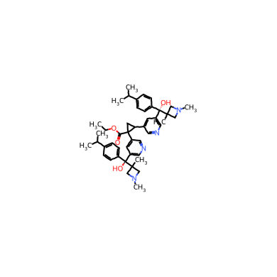 CCOC(=O)C1(c2cncc([C@@](O)(c3ccc(C(C)C)cc3)C3(C)CN(C)C3)c2)CC1c1cncc([C@@](O)(c2ccc(C(C)C)cc2)C2(C)CN(C)C2)c1